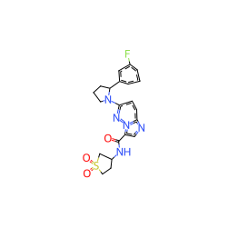 O=C(NC1CCS(=O)(=O)C1)c1cnc2ccc(N3CCCC3c3cccc(F)c3)nn12